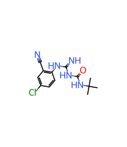 CC(C)(C)NC(=O)NC(=N)Nc1ccc(Cl)cc1C#N